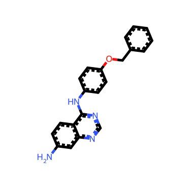 Nc1ccc2c(Nc3ccc(OCc4ccccc4)cc3)ncnc2c1